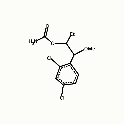 CCC(OC(N)=O)C(OC)c1ccc(Cl)cc1Cl